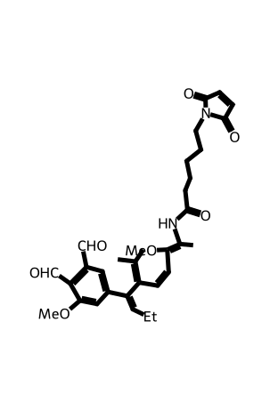 CC/C=C(\C(/C=C\C(OC)=C(/C)NC(=O)CCCCCN1C(=O)C=CC1=O)=C(C)C)c1cc(C=O)c(C=O)c(OC)c1